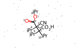 CC(C)OC(=O)C(C#N)(C(C)C)C(C(=O)O)(C(C)C)C(C)C